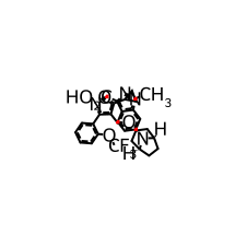 Cn1nc(C(=O)O)c2ccc(N3[C@@H]4CC[C@H]3C[C@@H](OCc3c(-c5ccccc5OC(F)(F)F)noc3C3CC3)C4)cc21